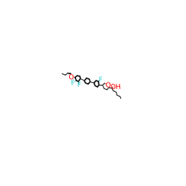 CC/C=C\Oc1ccc(-c2ccc(-c3ccc(C4CCC(C(O)CCCCC)OC4)c(F)c3)cc2)c(F)c1F